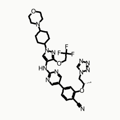 C[C@@H](Cn1cnnn1)Oc1cc(-c2cnc(Nc3cn(C4CCC(N5CCOCC5)CC4)nc3OCC(F)(F)F)nc2)ccc1C#N